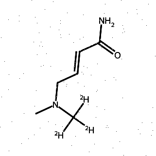 [2H]C([2H])([2H])N(C)CC=CC(N)=O